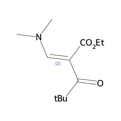 CCOC(=O)/C(=C\N(C)C)C(=O)C(C)(C)C